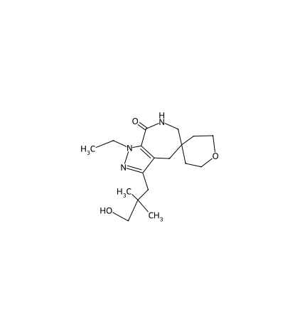 CCn1nc(CC(C)(C)CO)c2c1C(=O)NCC1(CCOCC1)C2